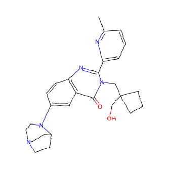 Cc1cccc(-c2nc3ccc(N4CCN5CCC4CC5)cc3c(=O)n2CC2(CO)CCC2)n1